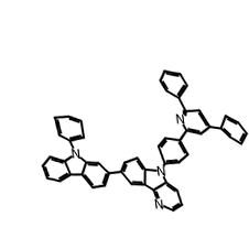 c1ccc(-c2cc(-c3ccccc3)nc(-c3ccc(-n4c5ccc(-c6ccc7c8ccccc8n(-c8ccccc8)c7c6)cc5c5ncccc54)cc3)c2)cc1